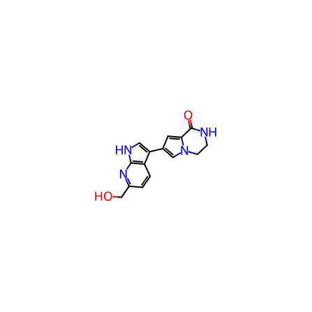 O=C1NCCn2cc(-c3c[nH]c4nc(CO)ccc34)cc21